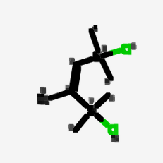 CC/C(=C/[Si](C)(C)Cl)[Si](C)(C)Cl